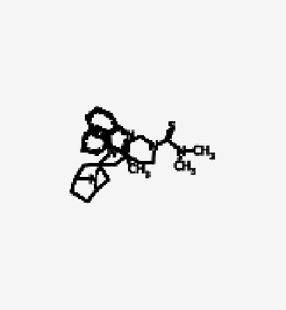 Cc1nc2ccccc2n1C1CC2CCC(C1)N2CCC1(c2ccccc2)CCN(C(=S)N(C)C)CC1